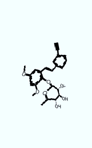 C#Cc1cccc(/C=C/c2cc(OC)cc(OC)c2OC2OC(C)[C@@H](O)C(O)[C@H]2O)c1